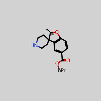 CCCOC(=O)c1ccc2c(c1)C1(CCNCC1)[C@@H](C)O2